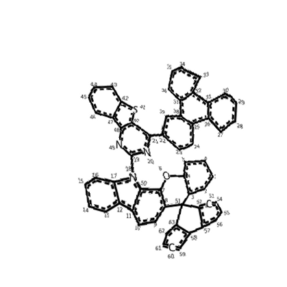 c1ccc2c(c1)Oc1c(ccc3c4ccccc4n(-c4nc(-c5ccc6c7ccccc7c7ccccc7c6c5)c5sc6ccccc6c5n4)c13)C21c2ccccc2-c2ccccc21